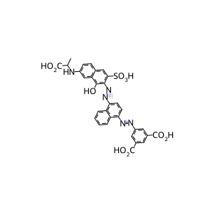 CC(Nc1ccc2cc(S(=O)(=O)O)c(/N=N/c3ccc(/N=N/c4cc(C(=O)O)cc(C(=O)O)c4)c4ccccc34)c(O)c2c1)C(=O)O